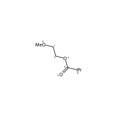 COCCOC(=O)C(C)C